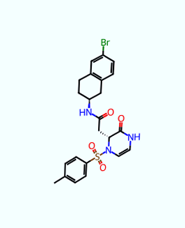 Cc1ccc(S(=O)(=O)N2C=CNC(=O)[C@H]2CC(=O)N[C@H]2CCc3cc(Br)ccc3C2)cc1